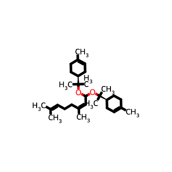 CC(C)=CCC/C(C)=C\C(OC(C)(C)[C@@H]1CC=C(C)CC1)OC(C)(C)[C@@H]1CC=C(C)CC1